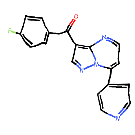 O=C(c1ccc(F)cc1)c1cnn2c(-c3ccncc3)ccnc12